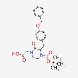 CC(C)(C)OC(=O)N1CCN(CC(=O)O)C(=O)C1Cc1ccc(OCc2ccccc2)cc1